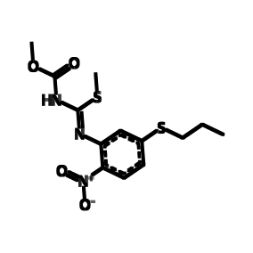 CCCSc1ccc([N+](=O)[O-])c(N=C(NC(=O)OC)SC)c1